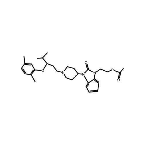 CC(=O)OCCn1c(=O)n(C2CCN(CCC(Oc3cc(C)ccc3C)C(C)C)CC2)c2ccccc21